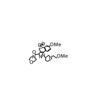 COCCN1CCCC(n2nc(C(=O)N3CCOCC3)c3c2-c2ccc(OC)cc2S(=O)(=O)C3)C1